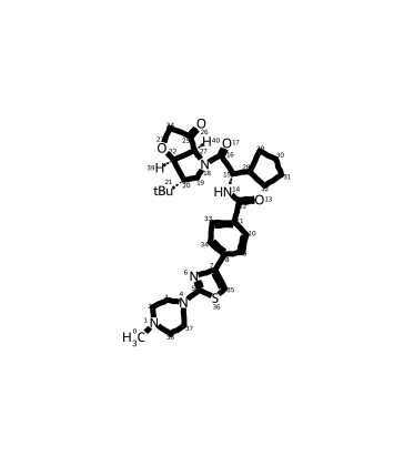 CN1CCN(c2nc(-c3ccc(C(=O)N[C@H](C(=O)N4C[C@H](C(C)(C)C)[C@H]5OCC(=O)[C@H]54)C4CCCC4)cc3)cs2)CC1